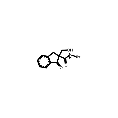 CC(C)NC(=O)C1(CO)Cc2ccccc2C1=O